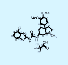 COc1ccc(C23CCC(NC(=O)Nc4nc5c(Cl)cccc5s4)CC2N(C)CC3)cc1OC.O=C(O)C(F)(F)F